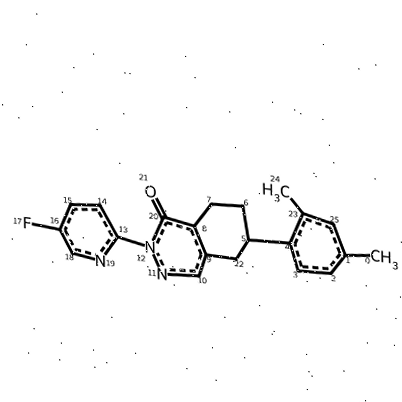 Cc1ccc(C2CCc3c(cnn(-c4ccc(F)cn4)c3=O)C2)c(C)c1